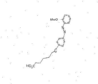 COc1ccccc1N=Nc1ccc(OCCCCCC(=O)O)cc1